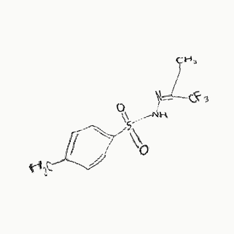 C/C(=N/NS(=O)(=O)c1ccc(C)cc1)C(F)(F)F